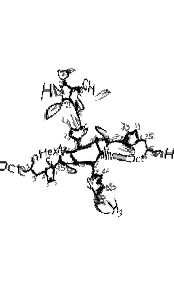 CCCCCCCCC(CCCCCC)Cc1ccc(-c2nc3c(-c4ccc(-c5sc(C)c6c5C(=O)NC6=O)s4)c4sc(-c5ccc(CC(CCCCCC)CCCCCCCC)s5)nc4c(-c4ccc(C)s4)c3s2)s1